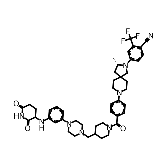 C[C@H]1CC2(CCN(c3ccc(C(=O)N4CCC(CN5CCN(c6cccc(NC7CCC(=O)NC7=O)c6)CC5)CC4)cc3)CC2)CN1c1ccc(C#N)c(C(F)(F)F)c1